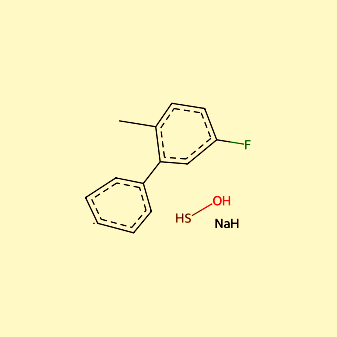 Cc1ccc(F)cc1-c1cc[c]cc1.OS.[NaH]